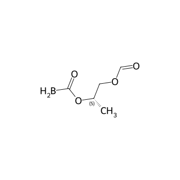 BC(=O)O[C@@H](C)COC=O